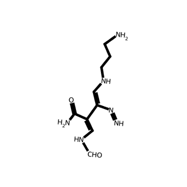 N=NC(=C\NCCCN)/C(=C/NC=O)C(N)=O